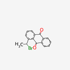 CC(Br)c1cccc2c1C(=O)c1ccccc1C2=O